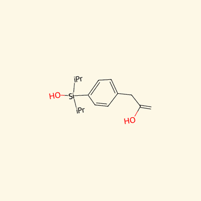 C=C(O)Cc1ccc([Si](O)(C(C)C)C(C)C)cc1